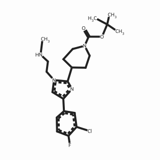 CNCCn1cc(-c2ccc(F)c(Cl)c2)nc1C1CCN(C(=O)OC(C)(C)C)CC1